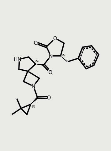 CC1(C)C[C@@H]1C(=O)N1CC2(CNC[C@H]2C(=O)N2C(=O)OC[C@@H]2Cc2ccccc2)C1